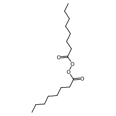 CCCCCCCC(=O)OOC(=O)CCCCCCC